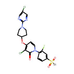 CCS(=O)(=O)c1ccc(-n2ccc(OC3CCN(c4ncc(Cl)cn4)CC3)c(Cl)c2=O)c(F)c1